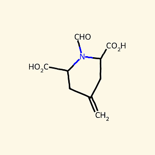 C=C1CC(C(=O)O)N(C=O)C(C(=O)O)C1